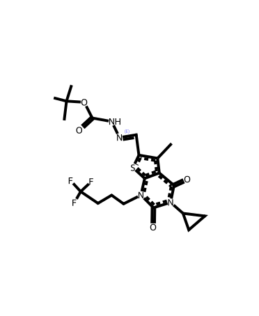 Cc1c(/C=N/NC(=O)OC(C)(C)C)sc2c1c(=O)n(C1CC1)c(=O)n2CCCC(F)(F)F